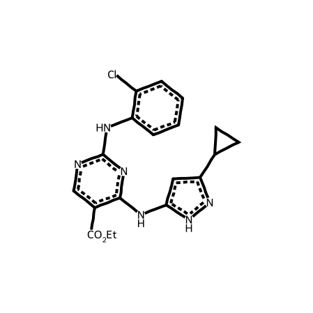 CCOC(=O)c1cnc(Nc2ccccc2Cl)nc1Nc1cc(C2CC2)n[nH]1